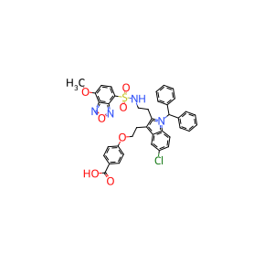 COc1ccc(S(=O)(=O)NCCc2c(CCOc3ccc(C(=O)O)cc3)c3cc(Cl)ccc3n2C(c2ccccc2)c2ccccc2)c2nonc12